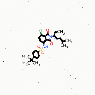 C=C/C(=C\C=C(C)C)N1C(=O)c2c(Cl)ccc(NS(=O)(=O)c3ccc(C(C)(C)C)cc3)c2C1=O